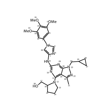 COc1cc(-n2cnc(Nc3nc(N4CCCC4CO)c4c(C)nn(CC5CC5)c4n3)c2)cc(OC)c1OC